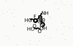 CNCc1cc(-c2cccc(CO)c2F)n(S(=O)(=O)c2cccnc2)c1.O=C(O)C=CC(=O)O